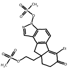 CCC1=C2c3ccc4c(cnn4OS(C)(=O)=O)c3CC2(CCOS(C)(=O)=O)CCC1=O